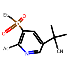 CCS(=O)(=O)c1cc(C(C)(C)C#N)cnc1C(C)=O